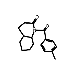 Cc1ccc(C(=O)N2C(=O)CCC3CCCCC32)cc1